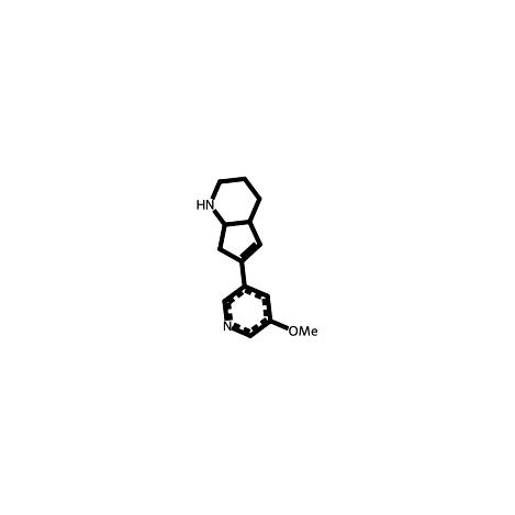 COc1cncc(C2=CC3CCCNC3C2)c1